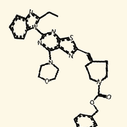 CCc1nc2ccccc2n1-c1nc(N2CCOCC2)c2nc(C=C3CCN(C(=O)OCc4ccccc4)CC3)sc2n1